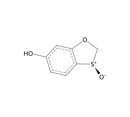 [O-][S@+]1COc2cc(O)ccc21